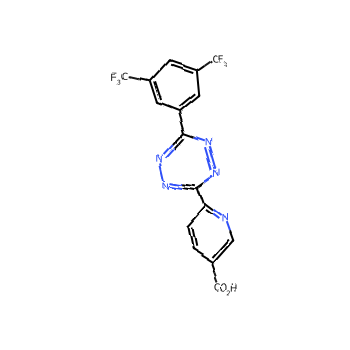 O=C(O)c1ccc(-c2nnc(-c3cc(C(F)(F)F)cc(C(F)(F)F)c3)nn2)nc1